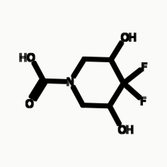 O=C(O)N1CC(O)C(F)(F)C(O)C1